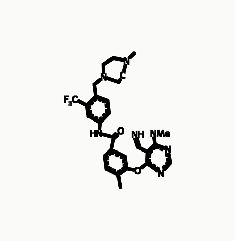 CNc1ncnc(Oc2cc(C(=O)Nc3ccc(CN4CCN(C)CC4)c(C(F)(F)F)c3)ccc2C)c1C=N